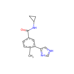 Cc1ccc(C(=O)NC2CC2)cc1-c1c[nH]cn1